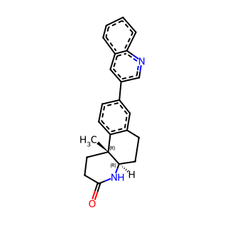 C[C@]12CCC(=O)N[C@@H]1CCc1cc(-c3cnc4ccccc4c3)ccc12